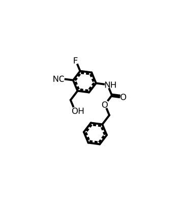 N#Cc1c(F)cc(NC(=O)OCc2ccccc2)cc1CO